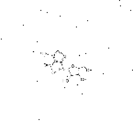 Nc1ccnc(NC2OC(CO)C(O)C2O)c1[N+](=O)[O-]